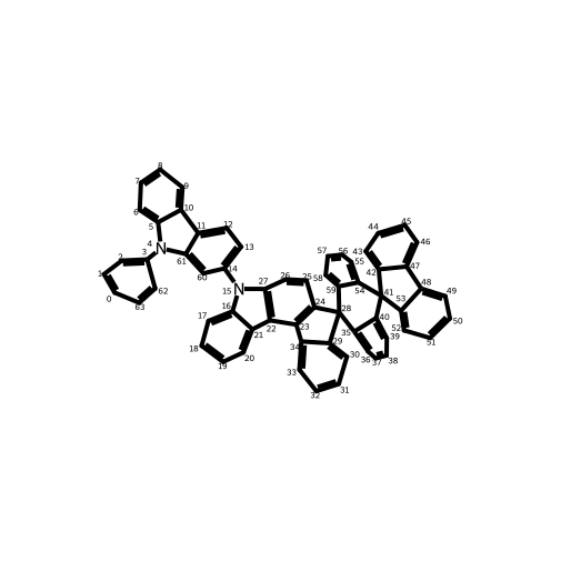 c1ccc(-n2c3ccccc3c3ccc(-n4c5ccccc5c5c6c(ccc54)C4(c5ccccc5-6)c5ccccc5C5(c6ccccc6-c6ccccc65)c5ccccc54)cc32)cc1